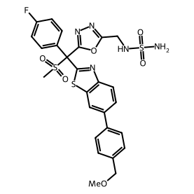 COCc1ccc(-c2ccc3nc(C(c4ccc(F)cc4)(c4nnc(CNS(N)(=O)=O)o4)S(C)(=O)=O)sc3c2)cc1